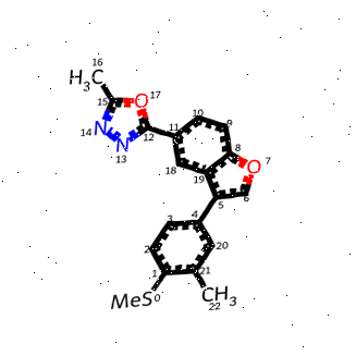 CSc1ccc(-c2coc3ccc(-c4nnc(C)o4)cc23)cc1C